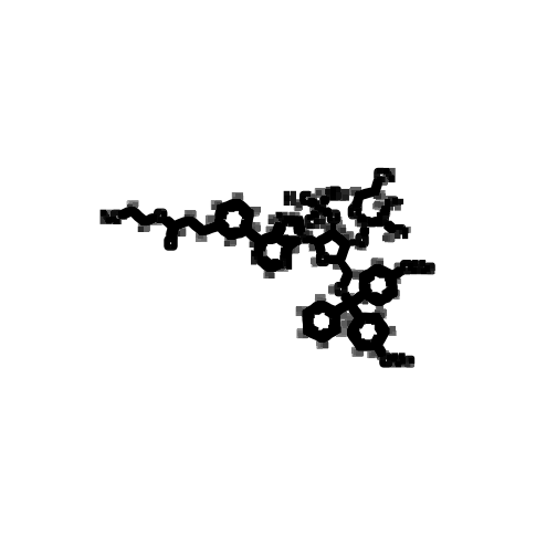 COc1ccc(C(OC[C@H]2O[C@@H](n3cnc4c(-c5cccc(CCC(=O)OCCC#N)c5)ncnc43)[C@H](O[Si](C)(C)C(C)(C)C)[C@@H]2OP(OCCC#N)N(C(C)C)C(C)C)(c2ccccc2)c2ccc(OC)cc2)cc1